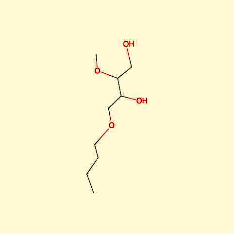 CCCCOCC(O)C(CO)OC